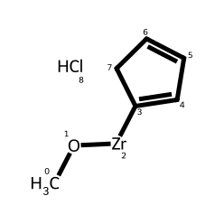 C[O][Zr][C]1=CC=CC1.Cl